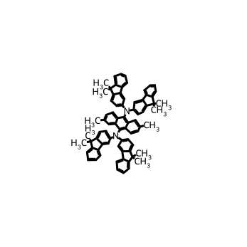 Cc1ccc2c(N(c3ccc4c(c3)-c3ccccc3C4(C)C)c3ccc4c(c3)-c3ccccc3C4(C)C)c3cc(C)ccc3c(N(c3ccc4c(c3)-c3ccccc3C4(C)C)c3ccc4c(c3)-c3ccccc3C4(C)C)c2c1